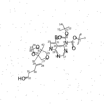 CC(C)(C)OC(=O)N(C(=O)OC(C)(C)C)c1ncnc2c1c(Br)cn2[C@@H]1O[C@H](/C=C/CCCO)C2(C)OC(C)(C)OC12C